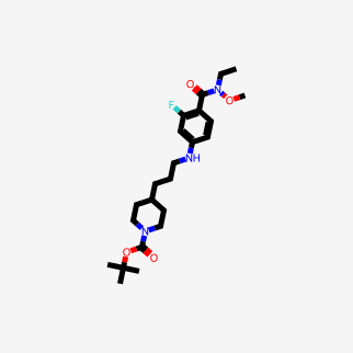 CCN(OC)C(=O)c1ccc(NCCCC2CCN(C(=O)OC(C)(C)C)CC2)cc1F